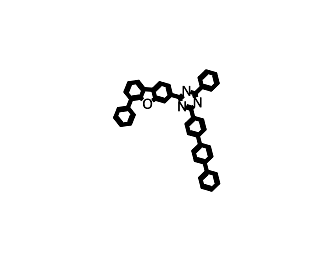 c1ccc(-c2ccc(-c3ccc(-c4nc(-c5ccccc5)nc(-c5ccc6c(c5)oc5c(-c7ccccc7)cccc56)n4)cc3)cc2)cc1